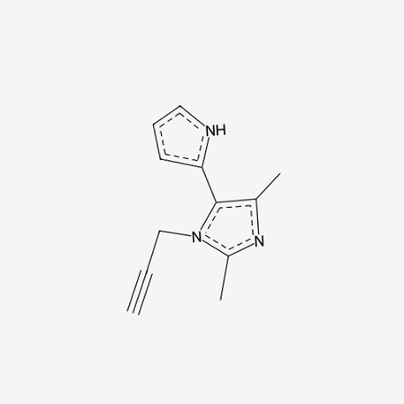 C#CCn1c(C)nc(C)c1-c1ccc[nH]1